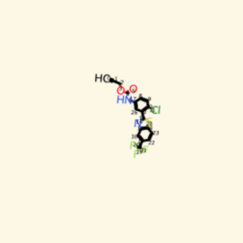 C#CCOC(=O)Nc1ccc(Cl)c(-c2nc3cc(C(F)(F)F)ccc3s2)c1